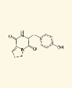 O=C1NC(Cc2ccc(O)cc2)C(=O)N2CCC=C12